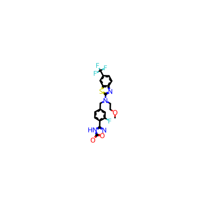 COCCN(Cc1ccc(-c2noc(=O)[nH]2)c(F)c1)c1nc2ccc(C(F)(F)F)cc2s1